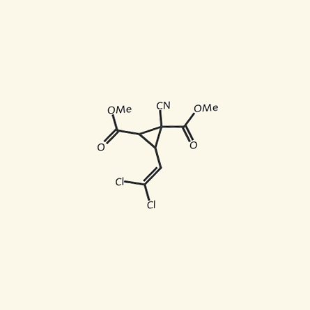 COC(=O)C1C(C=C(Cl)Cl)C1(C#N)C(=O)OC